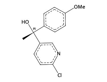 COc1ccc([C@@](C)(O)c2ccc(Cl)nc2)cc1